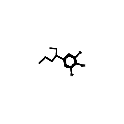 CCCC(CC)c1cc(Br)c(O)c(Br)c1